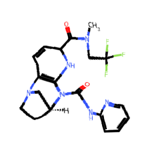 CN(CC(F)(F)F)C(=O)C1C=CC2=C(N1)N(C(=O)Nc1ccccn1)[C@H]1CCN2C1